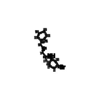 Brc1ccc2cc(CSCc3ccccc3)[nH]c2c1